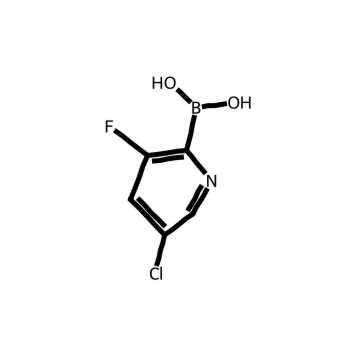 OB(O)c1ncc(Cl)cc1F